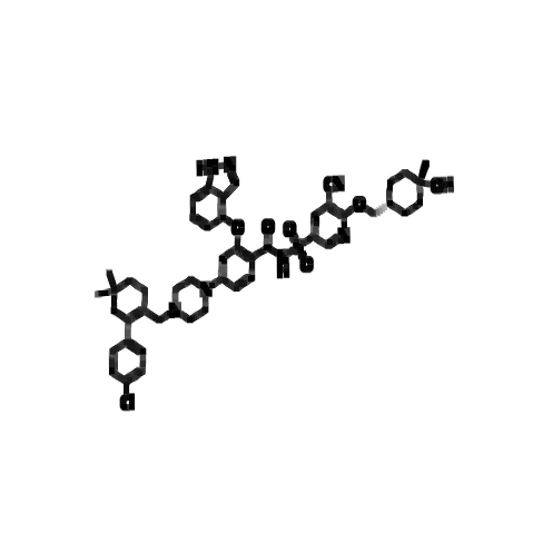 CC1(C)CCC(CN2CCN(c3ccc(C(=O)NS(=O)(=O)c4cnc(OC[C@H]5CC[C@@](C)(O)CC5)c(C#N)c4)c(Oc4cccc5[nH]ncc45)c3)CC2)=C(c2ccc(Cl)cc2)C1